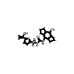 N#Cc1c2c(c(NC(=O)NS(=O)(=O)c3ccc(C4(O)CC4)s3)c3c1CCC3)CCC2